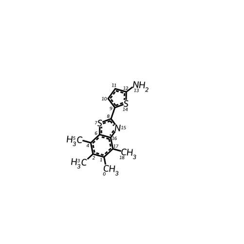 Cc1c(C)c(C)c2sc(-c3ccc(N)s3)nc2c1C